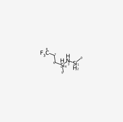 C[SiH](C)N[SiH](C)CCC(F)(F)F